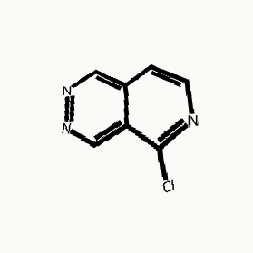 Clc1nccc2cnncc12